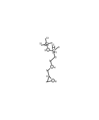 C[SiH](CCOCC1CO1)O[Si](C)(C)C